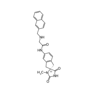 CN1C(=O)NC(=O)[C@@]12Cc1ccc(NC(=O)CNCc3ccc4ccccc4c3)cc1C2